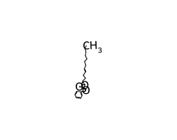 CCCCCCCC=CCCCOS(=O)(=O)c1ccccc1